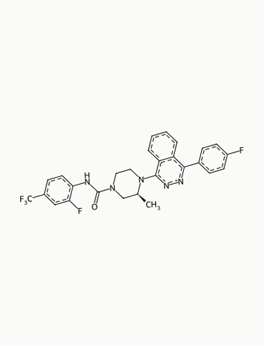 C[C@H]1CN(C(=O)Nc2ccc(C(F)(F)F)cc2F)CCN1c1nnc(-c2ccc(F)cc2)c2ccccc12